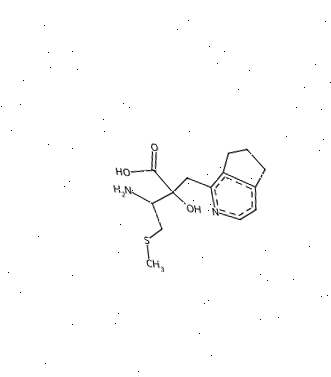 CSCC(N)C(O)(Cc1nccc2c1CCC2)C(=O)O